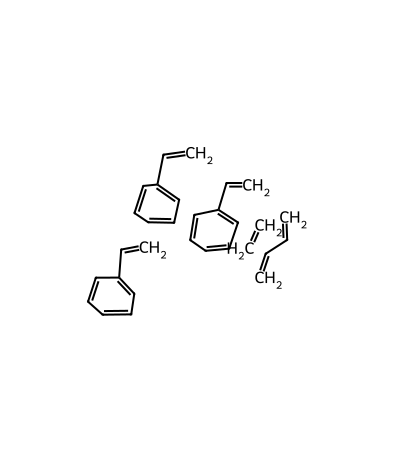 C=C.C=CC=C.C=Cc1ccccc1.C=Cc1ccccc1.C=Cc1ccccc1